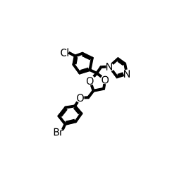 Clc1ccc(C2(Cn3ccnc3)OCC(COc3ccc(Br)cc3)O2)cc1